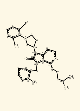 Cc1cccc(F)c1N1CC[C@@H](n2c(=O)n(Cc3ccccc3C(F)(F)F)c3c(OCCN(C)C)nccc32)C1